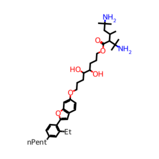 CCCCCc1ccc(-c2cc3ccc(OCCCC(O)C(O)CCCOC(=O)C(C(C)CC(C)(C)N)C(C)(C)N)cc3o2)c(CC)c1